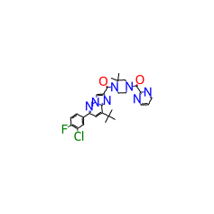 CC(C)(C)c1cc(-c2ccc(F)c(Cl)c2)nn2cc(C(=O)N3CCN(C(=O)c4ncccn4)CC3(C)C)nc12